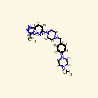 CN1CCN(c2ccc(CN3CCN(c4ccc5nnc(C(F)(F)F)n5n4)CC3)cc2)CC1